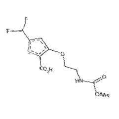 COC(=O)NCCOc1cc(C(F)F)sc1C(=O)O